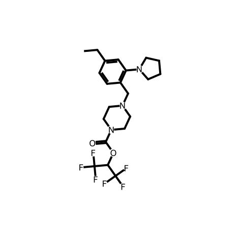 CCc1ccc(CN2CCN(C(=O)OC(C(F)(F)F)C(F)(F)F)CC2)c(N2CCCC2)c1